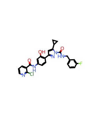 O=C(Nc1ccc(-c2cc(C3CC3)n(C(=O)NCc3cccc(F)c3)n2)c(O)c1)c1cccnc1Cl